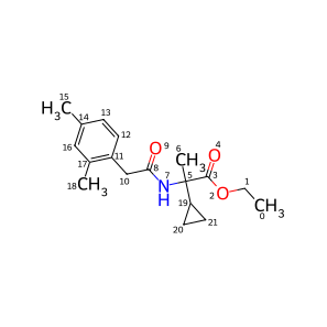 CCOC(=O)C(C)(NC(=O)Cc1ccc(C)cc1C)C1CC1